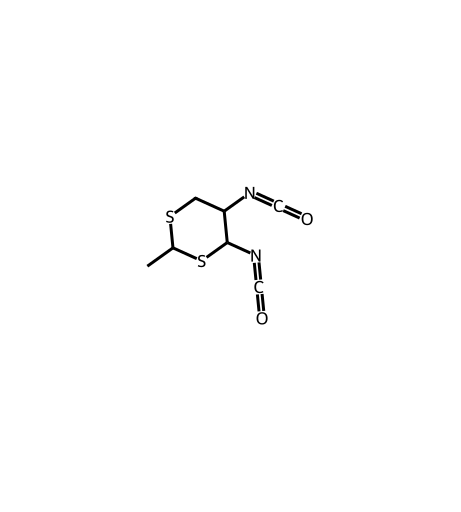 CC1SCC(N=C=O)C(N=C=O)S1